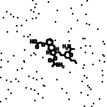 CCCCC[C@@H](CC[C@@H]1[C@H]2Cc3cccc(OCC(=O)O)c3C[C@H]2C[C@H]1OC(=O)C(C)N)CC(=O)C(C)N